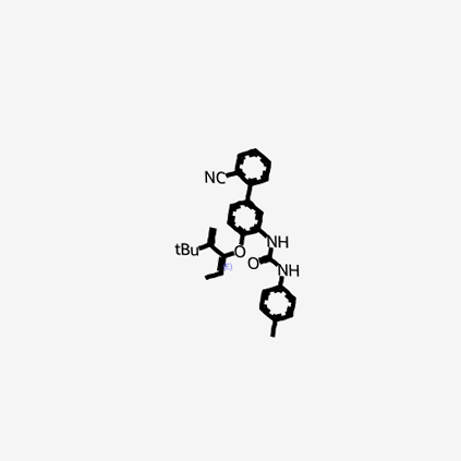 C=C(/C(=C\C)Oc1ccc(-c2ccccc2C#N)cc1NC(=O)Nc1ccc(C)cc1)C(C)(C)C